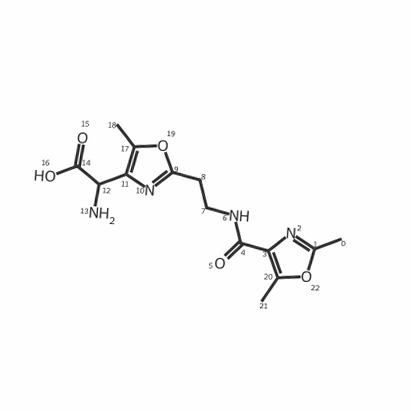 Cc1nc(C(=O)NCCc2nc(C(N)C(=O)O)c(C)o2)c(C)o1